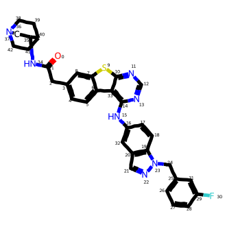 O=C(Cc1ccc2c(c1)sc1ncnc(Nc3ccc4c(cnn4Cc4cccc(F)c4)c3)c12)NC1CN2CCC1CC2